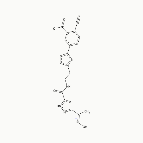 C/C(=N\O)c1cc(C(=O)NCCn2ccc(-c3ccc(C#N)c([N+](=O)[O-])c3)n2)[nH]n1